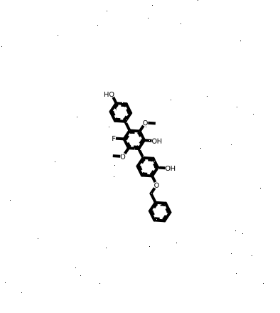 COc1c(F)c(-c2ccc(O)cc2)c(OC)c(O)c1-c1ccc(OCc2ccccc2)c(O)c1